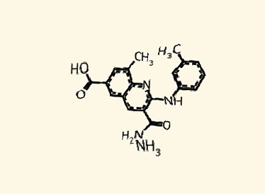 Cc1cccc(Nc2nc3c(C)cc(C(=O)O)cc3cc2C(N)=O)c1.N